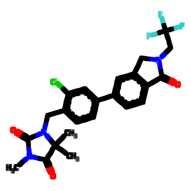 CN1C(=O)N(Cc2ccc(-c3ccc4c(c3)CN(CC(F)(F)F)C4=O)cc2Cl)C(C)(C)C1=O